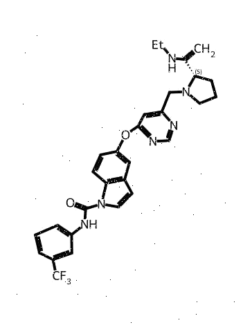 C=C(NCC)[C@@H]1CCCN1Cc1cc(Oc2ccc3c(ccn3C(=O)Nc3cccc(C(F)(F)F)c3)c2)ncn1